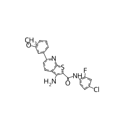 COc1cccc(-c2ccc3c(N)c(C(=O)Nc4ccc(Cl)cc4F)sc3n2)c1